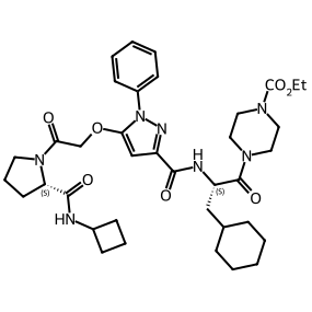 CCOC(=O)N1CCN(C(=O)[C@H](CC2CCCCC2)NC(=O)c2cc(OCC(=O)N3CCC[C@H]3C(=O)NC3CCC3)n(-c3ccccc3)n2)CC1